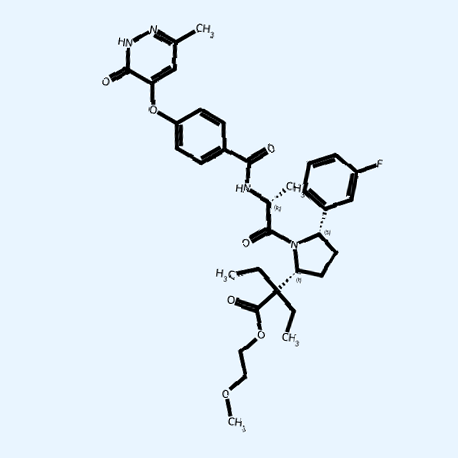 CCC(CC)(C(=O)OCCOC)[C@H]1CC[C@@H](c2cccc(F)c2)N1C(=O)[C@@H](C)NC(=O)c1ccc(Oc2cc(C)n[nH]c2=O)cc1